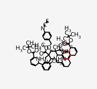 CCN(CC1C=CC=C(C(=O)OC(C)(C)C)N1)CC1(C(=O)OC)C(c2ccccc2)N(CC2=CCCC(C3CC=CC(C(=O)OC(C)(C)C)N3)N2)C(c2ccccc2)C(C)(C(=O)OC)[C@H]1OCc1ccc(N=C=S)cc1